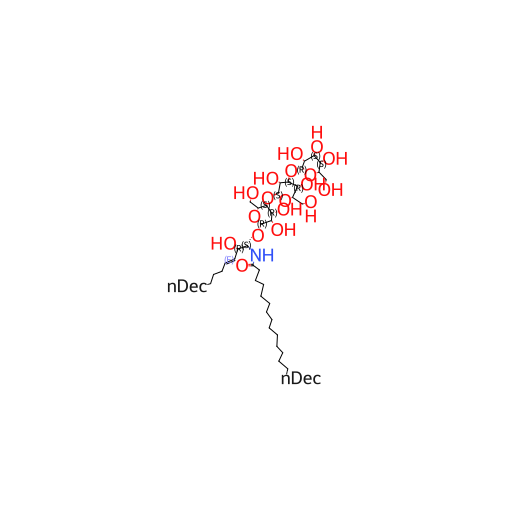 CCCCCCCCCCCCC/C=C/[C@@H](O)[C@H](CO[C@@H]1OC(CO)[C@@H](O[C@@H]2OC(CO)[C@@H](O)[C@H](O[C@H]3OC(CO)[C@@H](O)[C@H](O)C3O)C2O)[C@H](O)C1O)NC(=O)CCCCCCCCCCCCCCCCCCCCCCC